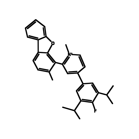 Cc1ccc2c(oc3ccccc32)c1-c1cc(-c2cc(C(C)C)c(F)c(C(C)C)c2)cc[n+]1C